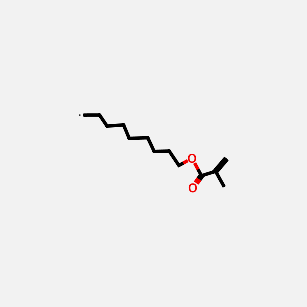 [CH2]CCCCCCCCOC(=O)C(=C)C